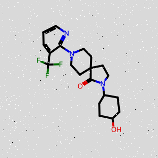 O=C1N(C2CCC(O)CC2)CCC12CCN(c1ncccc1C(F)(F)F)CC2